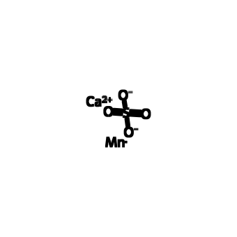 O=S(=O)([O-])[O-].[Ca+2].[Mn]